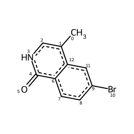 Cc1c[nH]c(=O)c2ccc(Br)cc12